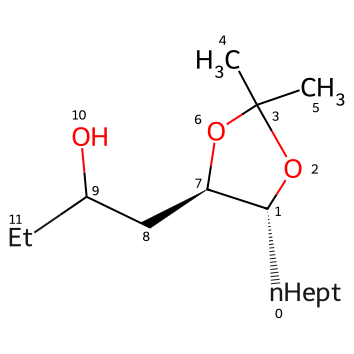 CCCCCCC[C@H]1OC(C)(C)O[C@@H]1CC(O)CC